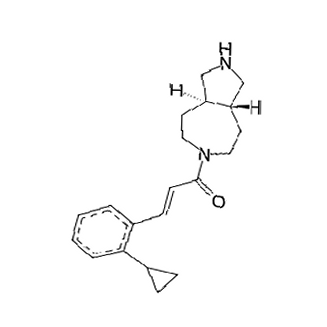 O=C(/C=C/c1ccccc1C1CC1)N1CC[C@H]2CNC[C@@H]2CC1